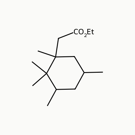 CCOC(=O)CC1(C)CC(C)CC(C)C1(C)C